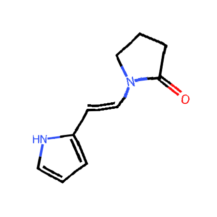 O=C1CCCN1C=Cc1ccc[nH]1